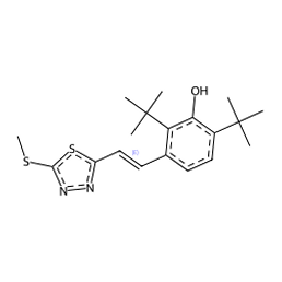 CSc1nnc(/C=C/c2ccc(C(C)(C)C)c(O)c2C(C)(C)C)s1